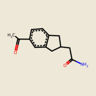 CC(=O)c1ccc2c(c1)CC(CC(N)=O)C2